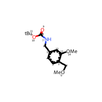 COCc1ccc(CNC(=O)OC(C)(C)C)cc1OC